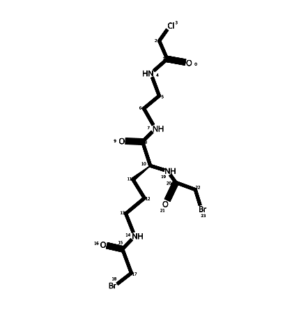 O=C(CCl)NCCNC(=O)[C@H](CCCNC(=O)CBr)NC(=O)CBr